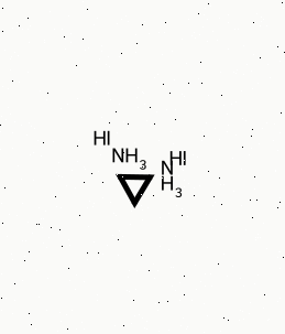 C1CC1.I.I.N.N